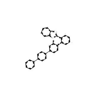 c1ccc(-c2ccc(-c3ccc4c5ccccc5c5nc6ccccc6n5c4c3)cc2)cc1